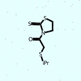 CC(C)SCC(=O)N1CCSC1=S